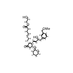 COCc1cccc(C[C@H](O)/C=C/[C@H]2[C@H](OC3CCCCO3)CC(=O)[C@@H]2CCSCCCC(=O)OCCO)c1